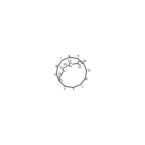 [CH]1CC[CH]C2CCCCCC(C1)CCCCC2